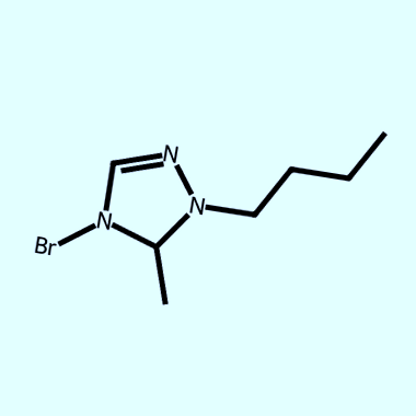 CCCCN1N=CN(Br)C1C